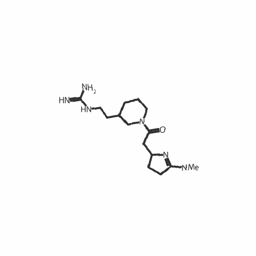 CNC1=NC(CC(=O)N2CCCC(CCNC(=N)N)C2)CC1